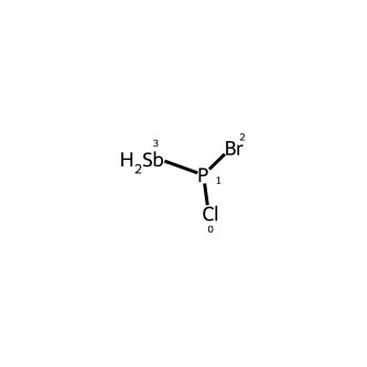 Cl[P](Br)[SbH2]